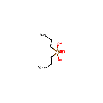 CSCCS(=O)(O)(O)CCSC